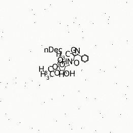 CCCCCCCCCCCCOC[C@@]12O[C@@H](CNC(=O)c3c(-c4ccccc4)noc3C)[C@@H](O)[C@@H]1OC(C)(C)O2